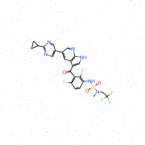 CN(CC(F)(F)F)S(=O)(=O)Nc1ccc(F)c(C(=O)c2c[nH]c3ncc(-c4cnc(C5CC5)nc4)cc23)c1F